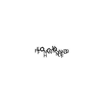 Fc1cnc(-c2ccnc(-c3ccc(Nc4cccc(C(F)(F)F)c4)cn3)n2)nc1N1CCOCC1